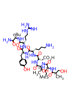 CCCC[C@H](NC(=O)[C@H](CCCNC(=N)N)NC(=O)[C@H](Cc1ccc(O)cc1)NC(=O)[C@H](CCCCN)NC(=O)[C@H](CC(=O)O)NC(=O)[C@@H](NC(=O)[C@H](CCSC)NC(=O)[C@@H](C)CO)[C@@H](C)O)C(N)=O